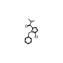 CCc1ccc(C(=O)N(C)C)n1Cc1ccccc1